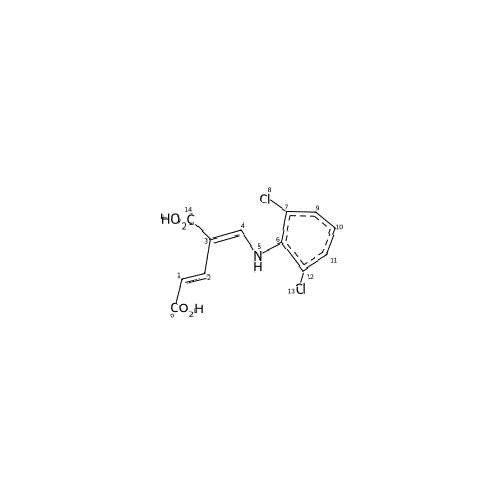 O=C(O)C=CC(=CNc1c(Cl)cccc1Cl)C(=O)O